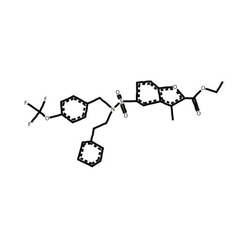 CCOC(=O)c1oc2ccc(S(=O)(=O)N(CCc3ccccc3)Cc3ccc(OC(F)(F)F)cc3)cc2c1C